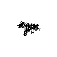 CCCC(NC(=O)C1CC(OC(=O)N2CCc3ccccc3C2)CN1C(=O)C(NC(=O)N[C@H](CN(C)S(=O)(=O)c1cccs1)C(C)(C)C)C(C)(C)C)C(=O)C(=O)NC1CC1